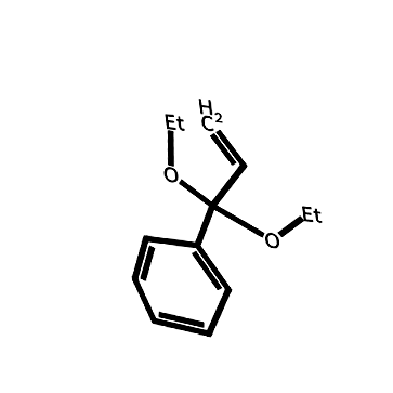 C=CC(OCC)(OCC)c1ccccc1